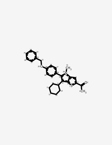 CC(=O)c1cc2c(s1)c(C1CCCCC1)c(-c1ccc(OCc3ccccc3)cc1)n2C